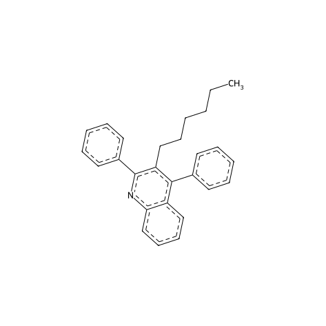 CCCCCCc1c(-c2ccccc2)nc2ccccc2c1-c1ccccc1